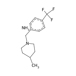 CC1CCN(Cc2ccc(C(F)(F)F)cc2)CC1.N